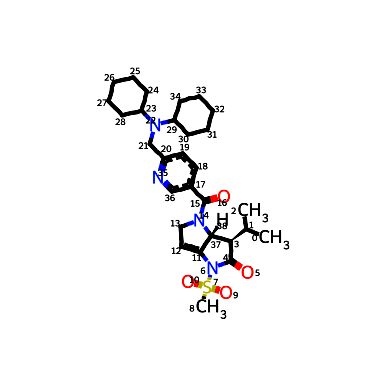 CC(C)[C@H]1C(=O)N(S(C)(=O)=O)C2=CCN(C(=O)c3ccc(CN(C4CCCCC4)C4CCCCC4)nc3)[C@@H]21